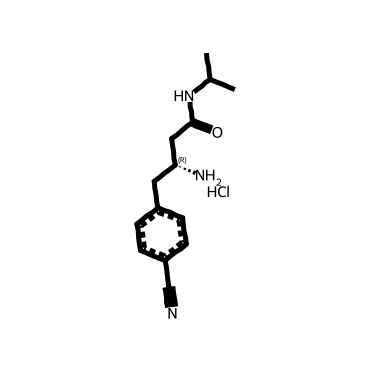 CC(C)NC(=O)C[C@H](N)Cc1ccc(C#N)cc1.Cl